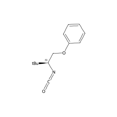 CC(C)(C)[C@@H](COc1ccccc1)N=C=O